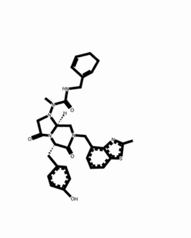 Cc1nc2c(CN3C[C@H]4N(C(=O)CN4N(C)C(=O)NCC4=CCCC=C4)[C@@H](Cc4ccc(O)cc4)C3=O)cccc2s1